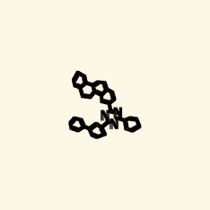 c1ccc(-c2cccc(-c3nc(-c4ccccc4)nc(-c4ccc5ccc6c7ccccc7ccc6c5c4)n3)c2)cc1